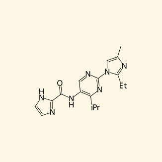 CCc1nc(C)cn1-c1ncc(NC(=O)c2ncc[nH]2)c(C(C)C)n1